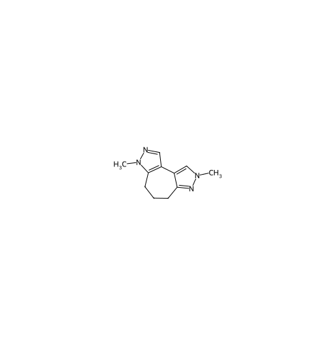 Cn1cc2c(n1)CCCc1c-2cnn1C